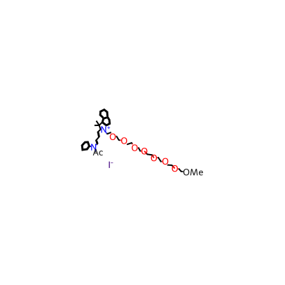 COCCOCCOCCOCCOCCOCCOCCOCC[N+]1=C(/C=C/C=C/N(C(C)=O)c2ccccc2)C(C)(C)c2c1ccc1ccccc21.[I-]